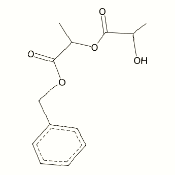 CC(O)C(=O)OC(C)C(=O)OCc1ccccc1